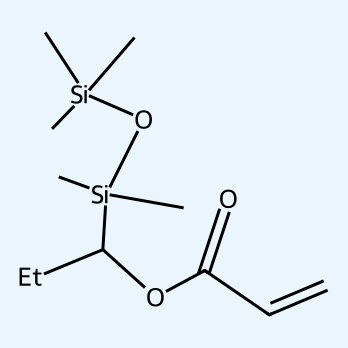 C=CC(=O)OC(CC)[Si](C)(C)O[Si](C)(C)C